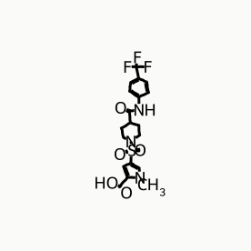 Cn1cc(S(=O)(=O)N2CCC(C(=O)Nc3ccc(C(F)(F)F)cc3)CC2)cc1C(=O)O